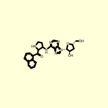 O=C(c1cccc2ccccc12)C1NCCC1Nc1ncnc2c1ncn2[C@@H]1O[C@H](CO)C[C@H]1O